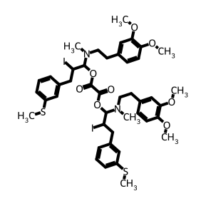 COc1ccc(CCN(C)C(OC(=O)C(=O)OC(C(I)Cc2cccc(SC)c2)N(C)CCc2ccc(OC)c(OC)c2)C(I)Cc2cccc(SC)c2)cc1OC